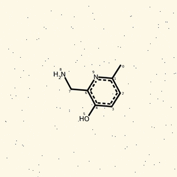 Cc1ccc(O)c(CN)n1